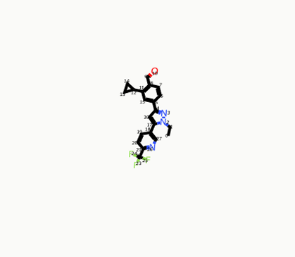 CCn1nc(-c2ccc(C=O)c(C3CC3)c2)cc1-c1ccc(C(F)(F)F)nc1